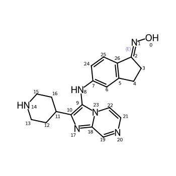 O/N=C1\CCc2cc(Nc3c(C4CCNCC4)nc4cnccn34)ccc21